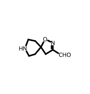 O=CC1=NOC2(CCNCC2)C1